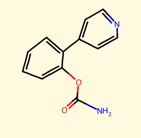 NC(=O)Oc1ccccc1-c1ccncc1